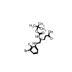 CC(C)(C)OC(=O)N[C@@H](CCC(=O)O)CNc1cccc(Br)c1F